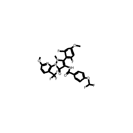 COc1cc(F)c(-c2c(NC(=O)c3ccc(OC(F)F)cc3)c(=O)n(-c3nc(OC)ccc3C(F)(F)F)n2C)c(F)c1